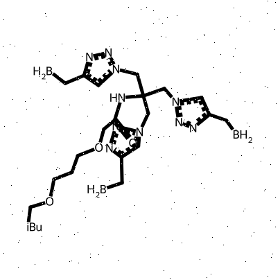 BCc1cn(CC(Cn2cc(CB)nn2)(Cn2cc(CB)nn2)NC(=O)COCCCOCC(C)CC)nn1